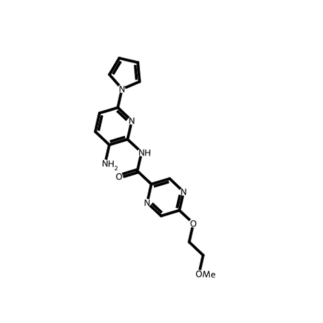 COCCOc1cnc(C(=O)Nc2nc(-n3cccc3)ccc2N)cn1